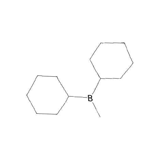 CB(C1CCCCC1)C1CCCCC1